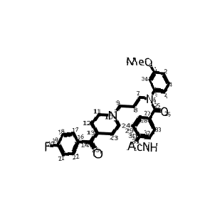 COc1cccc(N(CCCN2CCC(C(=O)c3ccc(F)cc3)CC2)C(=O)c2ccc(NC(C)=O)cc2)c1